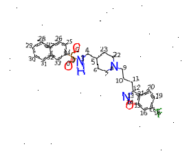 O=S(=O)(NCC1CCN(CCCc2noc3cc(F)ccc23)CC1)c1ccc2ccccc2c1